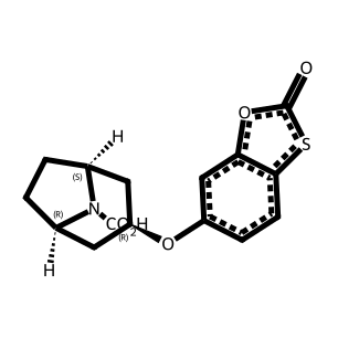 O=C(O)N1[C@@H]2CC[C@H]1C[C@@H](Oc1ccc3sc(=O)oc3c1)C2